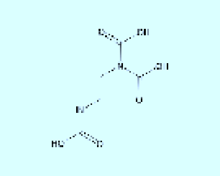 O=C(O)NCCN(C(=O)O)C(=O)O